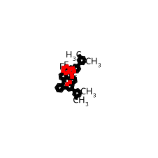 Cc1cc(C)cc(-c2ccc3c(c2)c2ccccc2n3-c2cccc(C#N)c2-c2c(-c3c(C(F)(F)F)cccc3C(F)(F)F)cccc2-n2c3ccccc3c3cc(-c4cc(C)cc(C)c4)ccc32)c1